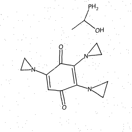 CC(O)P.O=C1C=C(N2CC2)C(=O)C(N2CC2)=C1N1CC1